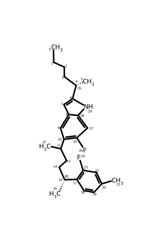 CCCC[C@H](C)c1cc2cc(C(C)CC[C@@H](C)c3ccc(C)cc3F)c(F)cc2[nH]1